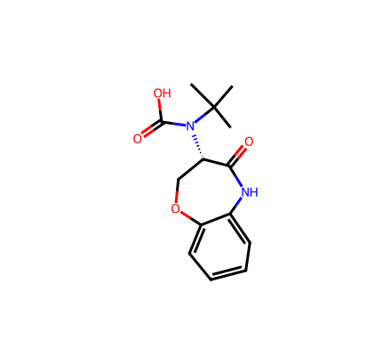 CC(C)(C)N(C(=O)O)[C@H]1COc2ccccc2NC1=O